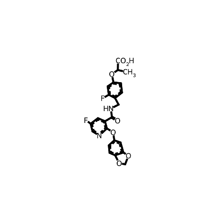 CC(Oc1ccc(CNC(=O)c2cc(F)cnc2Oc2ccc3c(c2)OCO3)c(F)c1)C(=O)O